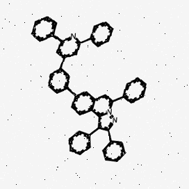 c1ccc(-c2cc(-c3cccc(-c4ccc5c(c4)cc(-c4ccccc4)n4nc(-c6ccccc6)c(-c6ccccc6)c54)c3)cc(-c3ccccc3)n2)cc1